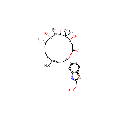 CC[C@H]1C(=O)C(C)(C)[C@@H](O)CC(=O)O[C@H](c2ccc3sc(CO)nc3c2)CC=C(C)CCC[C@H](C)[C@@H]1O